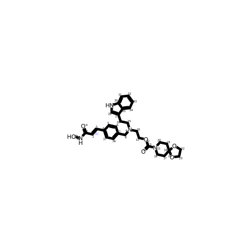 O=C(/C=C/c1ccc(CN(CCOC(=O)N2CCC3(CC2)OCCO3)CCc2c[nH]c3ccccc23)cc1)NO